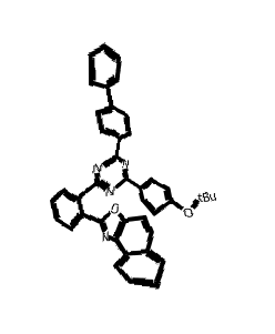 CC(C)(C)Oc1ccc(-c2nc(-c3ccc(-c4ccccc4)cc3)nc(-c3ccccc3-c3nc4c(ccc5ccccc54)o3)n2)cc1